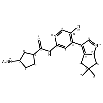 CC(=O)NC1CCC(C(=O)Nc2cc(-c3cnn4c3CC(C)(C)C4)c(Cl)cn2)C1